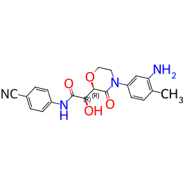 Cc1ccc(N2CCO[C@H]([C@@H](O)C(=O)Nc3ccc(C#N)cc3)C2=O)cc1N